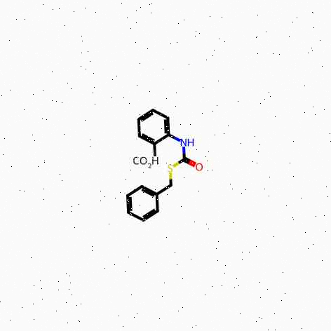 O=C(Nc1ccccc1C(=O)O)SCc1ccccc1